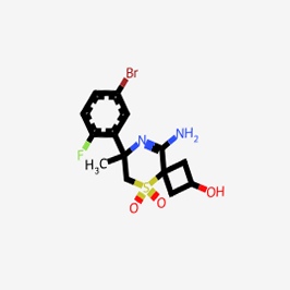 CC1(c2cc(Br)ccc2F)CS(=O)(=O)C2(CC(O)C2)C(N)=N1